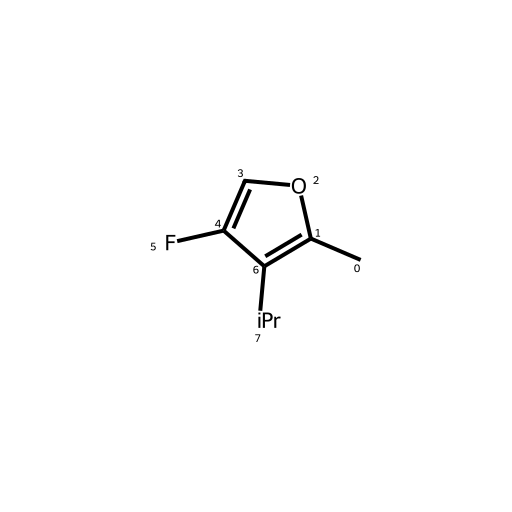 Cc1occ(F)c1C(C)C